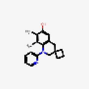 Cc1c(O)cc2c(c1C)N(c1ccccn1)CC1(CCC1)C2